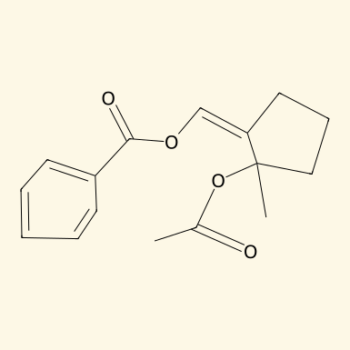 CC(=O)OC1(C)CCCC1=COC(=O)c1ccccc1